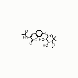 COC1[C@H](O)[C@H](O)C(Oc2ccc3cc(NC(C)=O)c(=O)oc3c2)OC1(C)C